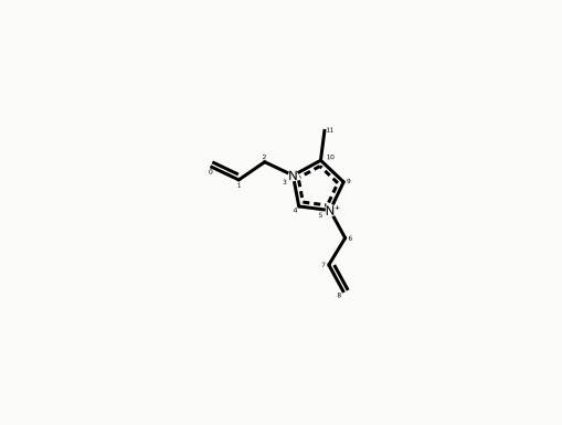 C=CCn1c[n+](CC=C)cc1C